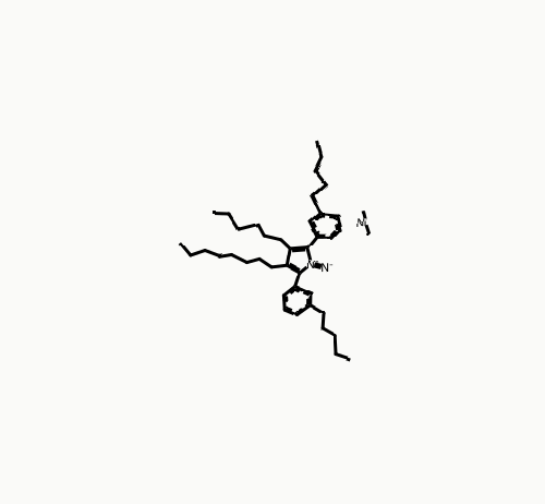 CCCCCCCCC1=C(c2cccc(CCCCC)c2)[N+](=[N-])C(c2cccc(CCCCC)c2)=C1CCCCCC.[CH3][Ni][CH3]